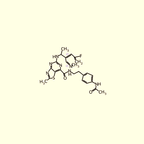 C=C(F)/C=C(\C=N/C)C(C)Nc1nc(C(=O)NCCc2ccc(NC(C)=O)cc2)c2sc(C)nc2n1